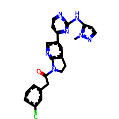 Cn1nccc1Nc1nccc(-c2cnc3c(c2)CCN3C(=O)Cc2cccc(Cl)c2)n1